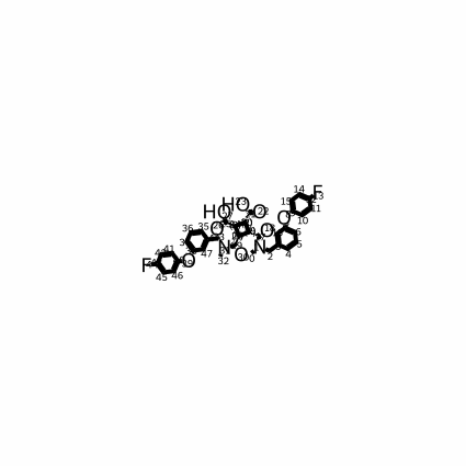 CN(Cc1cccc(Oc2ccc(F)cc2)c1)C(=O)[C@H]1[C@@H](C(=O)O)[C@H](C(=O)O)[C@@H]1C(=O)N(C)Cc1cccc(Oc2ccc(F)cc2)c1